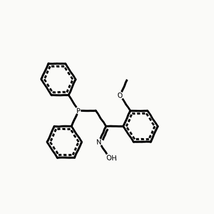 COc1ccccc1C(CP(c1ccccc1)c1ccccc1)=NO